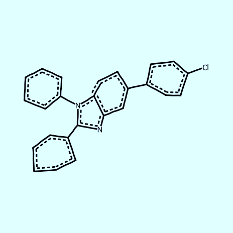 Clc1ccc(-c2ccc3c(c2)nc(-c2ccccc2)n3-c2ccccc2)cc1